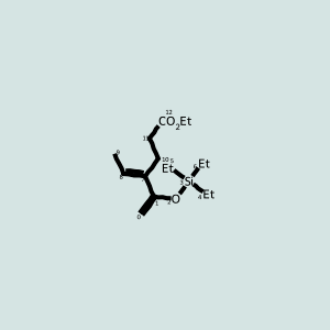 C=C(O[Si](CC)(CC)CC)C(=CC)CCC(=O)OCC